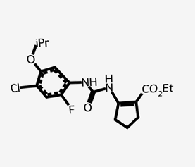 CCOC(=O)C1=C(NC(=O)Nc2cc(OC(C)C)c(Cl)cc2F)CCC1